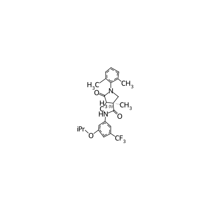 Cc1cccc(C)c1N1C[C@@](C)(C(=O)Nc2cc(OC(C)C)cc(C(F)(F)F)c2)C(C)C1=O